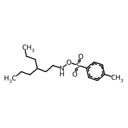 CCCC(CCC)CCNOS(=O)(=O)c1ccc(C)cc1